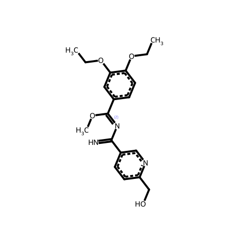 CCOc1ccc(/C(=N/C(=N)c2ccc(CO)nc2)OC)cc1OCC